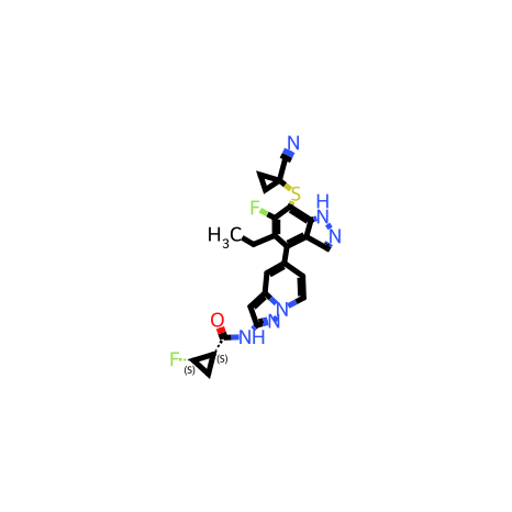 CCc1c(F)c(SC2(C#N)CC2)c2[nH]ncc2c1-c1ccn2nc(NC(=O)[C@@H]3C[C@@H]3F)cc2c1